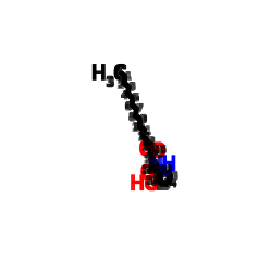 CCCCCCCCCCCCCCOC(=O)CNC(=O)c1ncccc1O